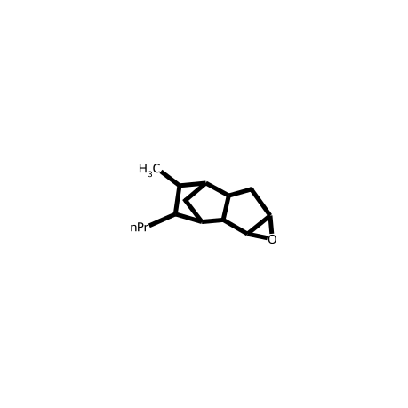 CCCC1C(C)C2CC1C1C2CC2OC21